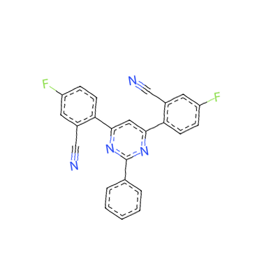 N#Cc1cc(F)ccc1-c1cc(-c2ccc(F)cc2C#N)nc(-c2ccccc2)n1